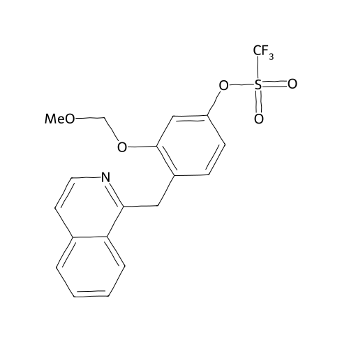 COCOc1cc(OS(=O)(=O)C(F)(F)F)ccc1Cc1nccc2ccccc12